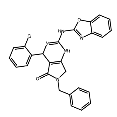 O=C1C2=C(CN1Cc1ccccc1)NC(Nc1nc3ccccc3o1)=NC2c1ccccc1Cl